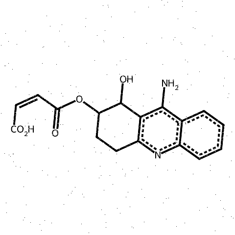 Nc1c2c(nc3ccccc13)CCC(OC(=O)/C=C\C(=O)O)C2O